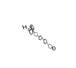 COC(=O)C1CCC(c2ccc(-c3ccc(C4CCC(=O)CC4)cc3)cc2)CC1